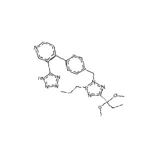 CCCc1nc(C(CC)(OC)OC)nn1Cc1ccc(-c2ccncc2-c2nnn[nH]2)cc1